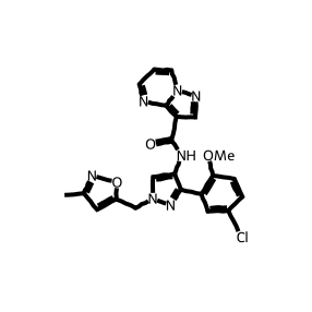 COc1ccc(Cl)cc1-c1nn(Cc2cc(C)no2)cc1NC(=O)c1cnn2cccnc12